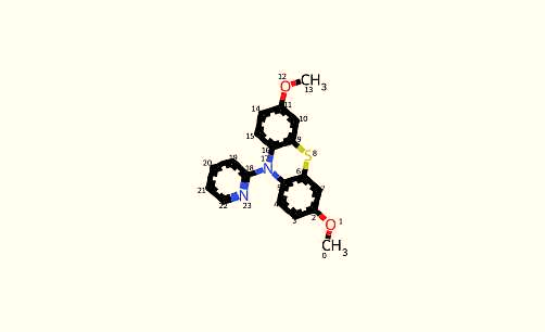 COc1ccc2c(c1)Sc1cc(OC)ccc1N2c1ccccn1